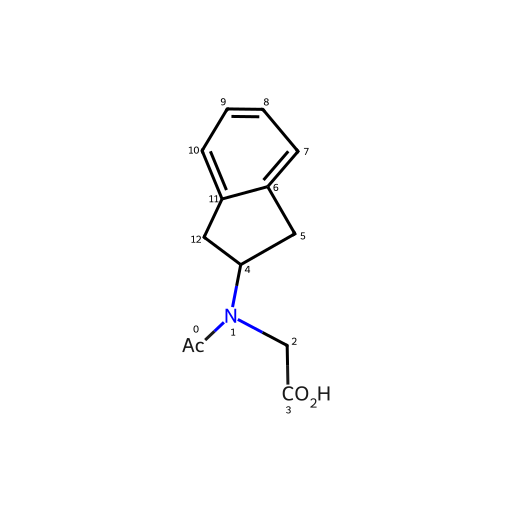 CC(=O)N(CC(=O)O)C1Cc2ccccc2C1